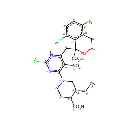 CCOC(=O)C1(Cc2nc(Cl)nc(N3CCN(C(=O)O)[C@@H](CC#N)C3)c2[N+](=O)[O-])OCCc2c(Cl)ccc(F)c21